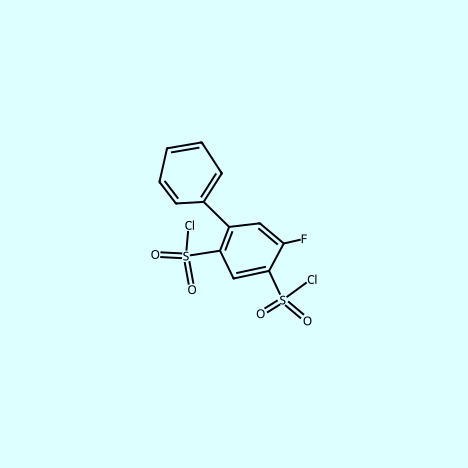 O=S(=O)(Cl)c1cc(S(=O)(=O)Cl)c(-c2ccccc2)cc1F